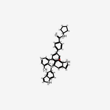 N#Cc1cncc(-c2cccc(-c3ccc(C(=O)NC4CCCC4)cc3)c2)c1N(c1ccc2[nH]ccc2c1)c1ccc2[nH]ccc2c1